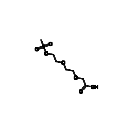 CS(=O)(=O)OCCOCCOCC(=O)O